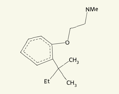 CCC(C)(C)c1ccccc1OCCNC